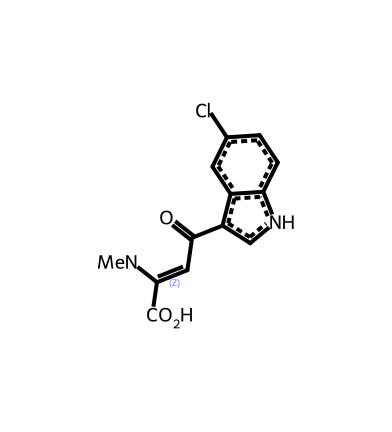 CN/C(=C\C(=O)c1c[nH]c2ccc(Cl)cc12)C(=O)O